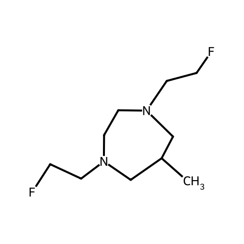 CC1CN(CCF)CCN(CCF)C1